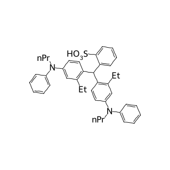 CCCN(c1ccccc1)c1ccc(C(c2ccc(N(CCC)c3ccccc3)cc2CC)c2ccccc2S(=O)(=O)O)c(CC)c1